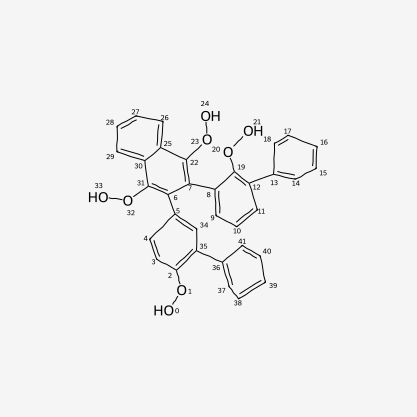 OOc1ccc(-c2c(-c3cccc(-c4ccccc4)c3OO)c(OO)c3ccccc3c2OO)cc1-c1ccccc1